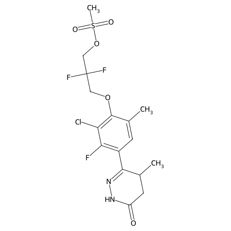 Cc1cc(C2=NNC(=O)CC2C)c(F)c(Cl)c1OCC(F)(F)COS(C)(=O)=O